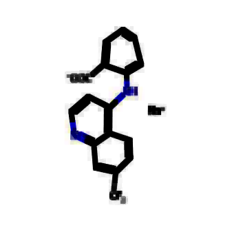 O=C([O-])c1ccccc1Nc1ccnc2cc(C(F)(F)F)ccc12.[Na+]